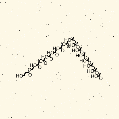 CC(=O)O.CC(=O)O.CC(=O)O.CC(=O)O.CC(=O)O.CC(=O)O.CC(=O)O.CC(=O)O.CC(=O)O.CC(=O)O.CC(=O)O.CC(=O)O.CC(=O)O.CC(=O)O.CCOC(=O)CCO